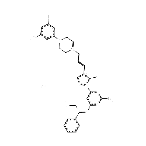 Cc1c(/C=C/CN2CCN(c3cc(F)cc(F)c3)CC2)cnn1-c1cc(N[C@H](CO)c2ccccc2)nc(N)n1.Cl